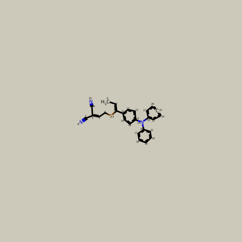 C/C=C(\SCC=C(C#N)C#N)c1ccc(N(c2ccccc2)c2ccccc2)cc1